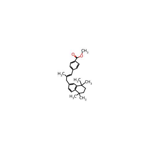 COC(=O)c1ccc(C=C(C)Cc2ccc3c(c2)C(C)(C)CCC3(C)C)cc1